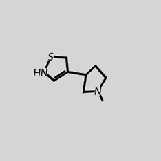 CN1CCC(C2=CNSC2)C1